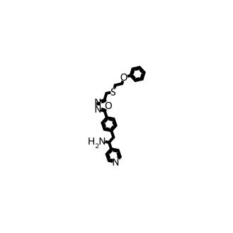 NC(Cc1ccc(-c2nnc(CSCCOc3ccccc3)o2)cc1)c1ccncc1